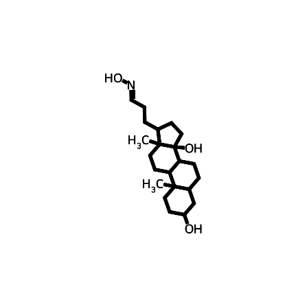 CC12CCC(O)CC1CCC1C2CCC2(C)C(CC/C=N/O)CCC12O